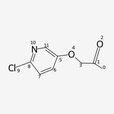 CC(=O)COc1ccc(Cl)nc1